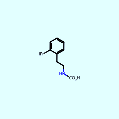 CC(C)c1ccccc1CCNC(=O)O